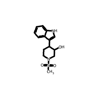 CS(=O)(=O)N1CCC(c2c[nH]c3ccccc23)C(O)C1